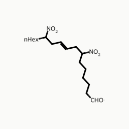 CCCCCCC(C/C=C/CC(CCCCC[C]=O)[N+](=O)[O-])[N+](=O)[O-]